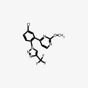 COc1nccc(-c2cc(Cl)ccc2-n2cc(C(F)(F)F)nn2)n1